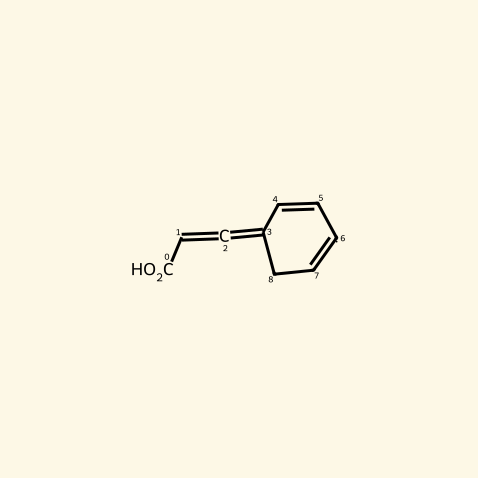 O=C(O)C=C=C1C=C[C]=CC1